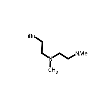 CCC(C)CCN(C)CCNC